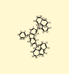 c1ccc(-n2c3ccc(-n4c5cccc6ccc7cccc4c7c65)cc3c3cc(-n4c5cccc6ccc7cccc4c7c65)ccc32)cc1